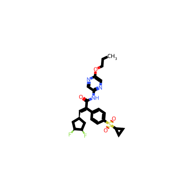 CCCOc1cnc(NC(=O)/C(=C/[C@H]2C[C@@H](F)[C@@H](F)C2)c2ccc(S(=O)(=O)C3CC3)cc2)cn1